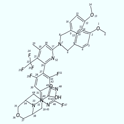 COc1ccc(CN(Cc2ccc(OC)cc2)c2cc(C)c(C(F)(F)F)c(-c3c(F)cc4c(N5C6COCC5CN(C(=O)O)C6)nc(F)nc4c3F)n2)cc1